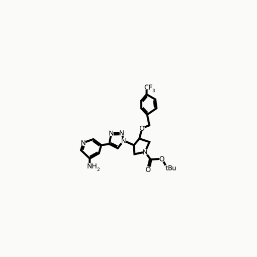 CC(C)(C)OC(=O)N1CC(OCc2ccc(C(F)(F)F)cc2)C(n2cc(-c3cncc(N)c3)nn2)C1